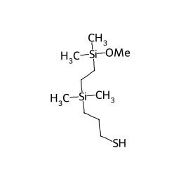 CO[Si](C)(C)CC[Si](C)(C)CCCS